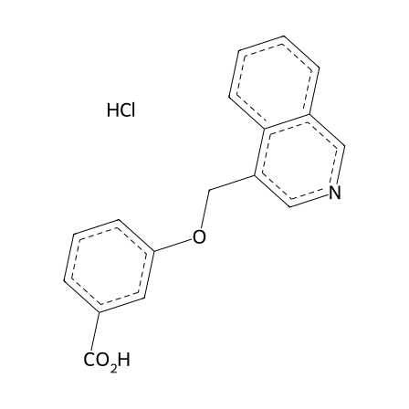 Cl.O=C(O)c1cccc(OCc2cncc3ccccc23)c1